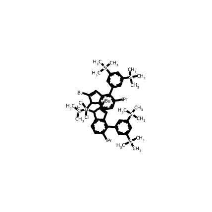 CCC(C)C1=Cc2c(ccc(C(C)C)c2-c2cc([Si](C)(C)C)cc([Si](C)(C)C)c2)[CH]1[Zr]([Cl])([Cl])([CH]1C(C(C)CC)=Cc2c1ccc(C(C)C)c2-c1cc([Si](C)(C)C)cc([Si](C)(C)C)c1)[SiH](C)C